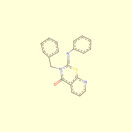 O=c1c2cccnc2s/c(=N\c2ccccc2)n1Cc1ccccc1